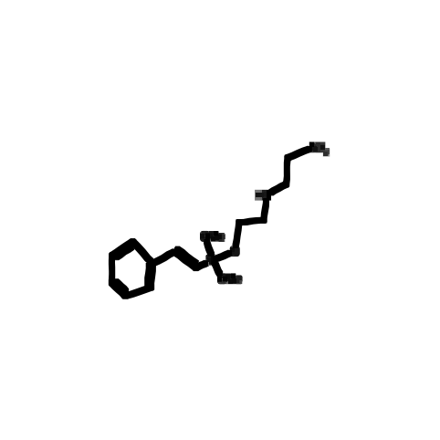 CO[Si](C=Cc1ccccc1)(OC)OCCNCCN